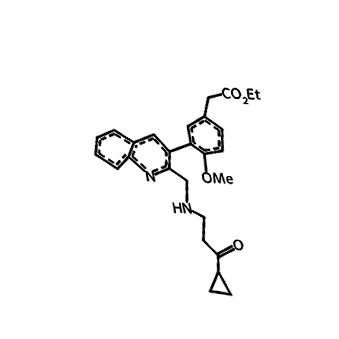 CCOC(=O)Cc1ccc(OC)c(-c2cc3ccccc3nc2CNCCC(=O)C2CC2)c1